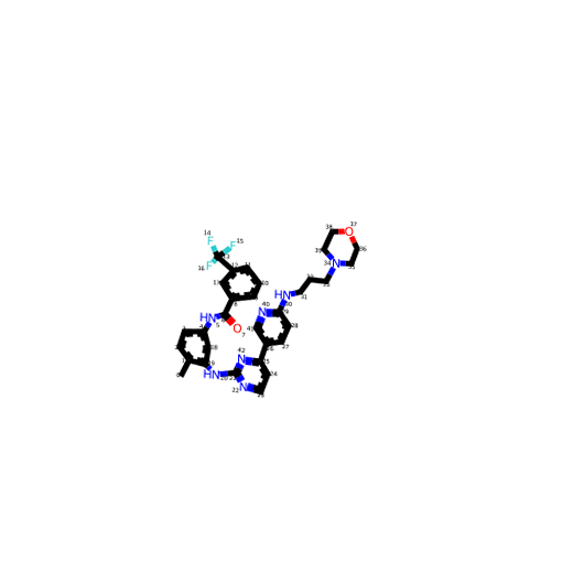 Cc1ccc(NC(=O)c2cccc(C(F)(F)F)c2)cc1Nc1nccc(-c2ccc(NCCCN3CCOCC3)nc2)n1